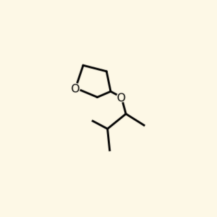 CC(C)C(C)OC1CCOC1